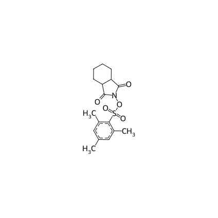 Cc1cc(C)c(S(=O)(=O)ON2C(=O)C3CCCCC3C2=O)c(C)c1